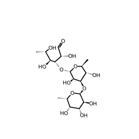 C[C@H](O)[C@H](O)[C@@H](O[C@@H]1O[C@@H](C)[C@H](O)[C@@H](O[C@@H]2O[C@@H](C)[C@@H](O)[C@@H](O)[C@@H]2O)[C@H]1O)[C@@H](O)C=O